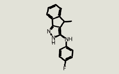 CC1c2ccccc2-c2n[nH]c(Nc3ccc(F)cc3)c21